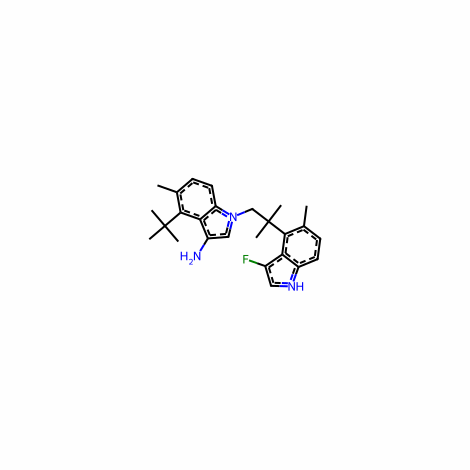 Cc1ccc2[nH]cc(F)c2c1C(C)(C)Cn1cc(N)c2c(C(C)(C)C)c(C)ccc21